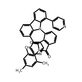 Cc1cc(C)c(N2C(=O)c3cccc(-n4c5c(-c6ccncc6)cccc5c5cccc(-c6ccncc6)c54)c3C2=O)c(C)c1